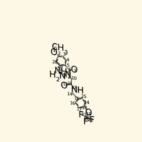 COc1ccc(C(=O)N(N)CC(=O)NCc2ccc(OC(F)(F)F)cc2)c(N)c1